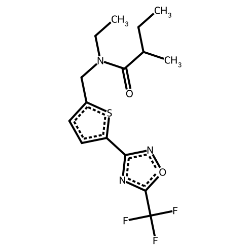 CCC(C)C(=O)N(CC)Cc1ccc(-c2noc(C(F)(F)F)n2)s1